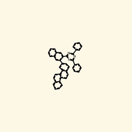 c1ccc(-c2nc(-c3ccccc3)nc(-c3cc4ccccc4cc3-c3ccc4ccc5c6ccccc6ccc5c4c3)n2)cc1